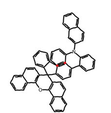 c1ccc(N(c2ccc3ccccc3c2)c2ccccc2-c2ccc3c(c2)-c2ccccc2C32c3ccc4ccccc4c3Oc3c2ccc2ccccc32)cc1